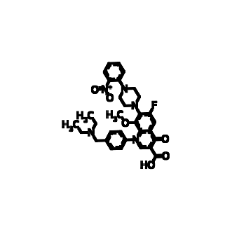 CCN(CC)Cc1ccc(-n2cc(C(=O)O)c(=O)c3cc(F)c(N4CCN(c5ccccc5[N+](=O)[O-])CC4)c(OC)c32)cc1